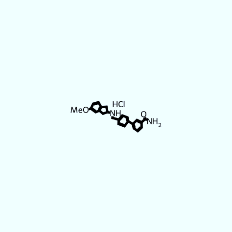 COc1ccc2c(c1)CC(NCc1ccc(-c3cccc(C(N)=O)c3)cc1)C2.Cl